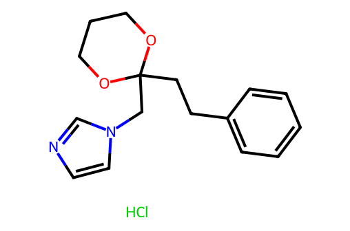 Cl.c1ccc(CCC2(Cn3ccnc3)OCCCO2)cc1